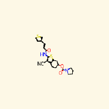 N#Cc1c(NC(=O)C=Cc2ccsc2)sc2c1CCC(OC(=O)N1CCCC1)C2